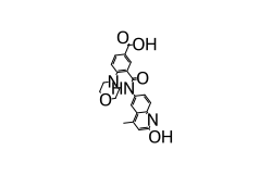 Cc1cc(O)nc2ccc(NC(=O)c3cc(C(=O)O)ccc3N3CCOCC3)cc12